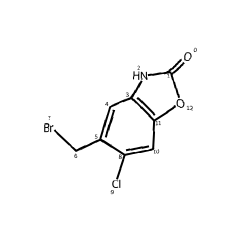 O=c1[nH]c2cc(CBr)c(Cl)cc2o1